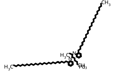 CCCCCCCCCCCCCCCCCCCCC/C=C/CCCc1ccccc1/N=C(CC)\C(CCCCC)=N\c1ccccc1CCC/C=C/CCCCCCCCCCCCCCCCCCCCC.[Pd]